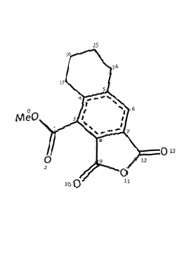 COC(=O)c1c2c(cc3c1C(=O)OC3=O)CCCC2